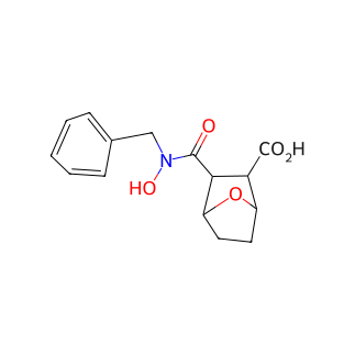 O=C(O)C1C2CCC(O2)C1C(=O)N(O)Cc1ccccc1